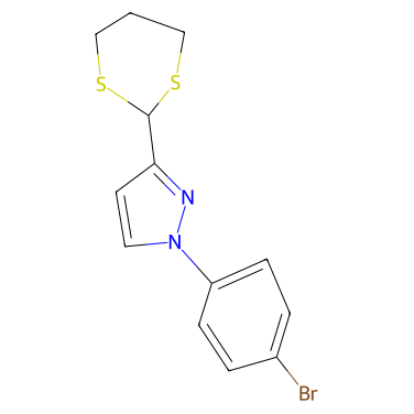 Brc1ccc(-n2ccc(C3SCCCS3)n2)cc1